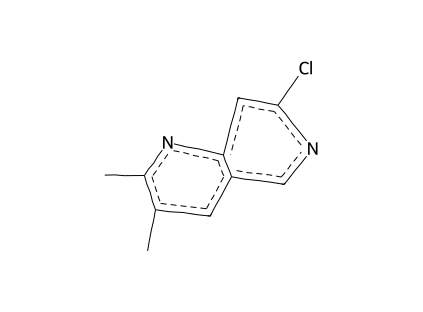 Cc1cc2cnc(Cl)cc2nc1C